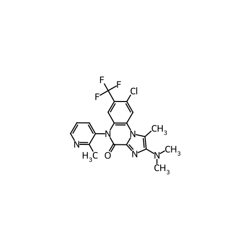 Cc1ncccc1-n1c(=O)c2nc(N(C)C)c(C)n2c2cc(Cl)c(C(F)(F)F)cc21